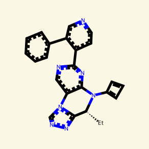 CC[C@@H]1c2nncn2-c2cnc(-c3ccncc3-c3ccccc3)nc2N1C1=CC=C1